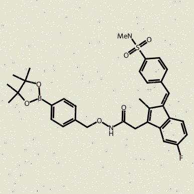 CNS(=O)(=O)c1ccc(C=C2C(C)=C(CC(=O)NOCc3ccc(B4OC(C)(C)C(C)(C)O4)cc3)c3cc(F)ccc32)cc1